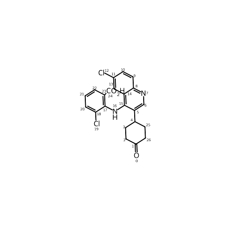 O=C1CCC(c2cnc3ccc(Cl)cc3c2Nc2c(Cl)cccc2C(=O)O)CC1